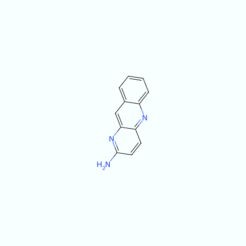 Nc1ccc2nc3ccccc3cc2n1